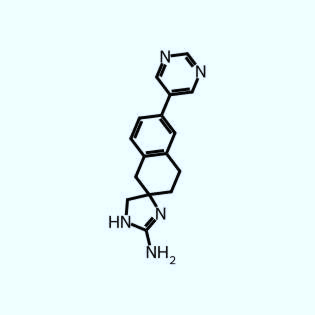 NC1=NC2(CCc3cc(-c4cncnc4)ccc3C2)CN1